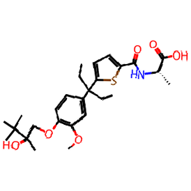 CCC(CC)(c1ccc(OCC(C)(O)C(C)(C)C)c(OC)c1)c1ccc(C(=O)N[C@@H](C)C(=O)O)s1